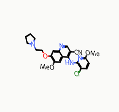 COc1ccc(Cl)c(Nc2c(C#N)cnc3cc(OCCN4CCCC4)c(OC)cc23)n1